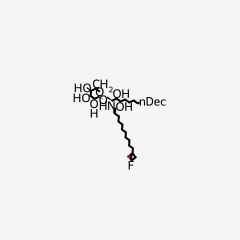 [CH2][C@H]1O[C@H](OC[C@H](NC=CCCCCCCCCCC23CC(F)(C2)C3)[C@H](O)[C@H](O)CCCCCCCCCCCCCC)[C@H](O)[C@@H](O)[C@H]1O